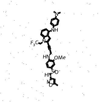 COc1cc([S+]([O-])Nc2cc(C)on2)ccc1NCC#Cc1cc2c(Nc3ccc(N(C)C)cc3)cccc2n1CC(F)(F)F